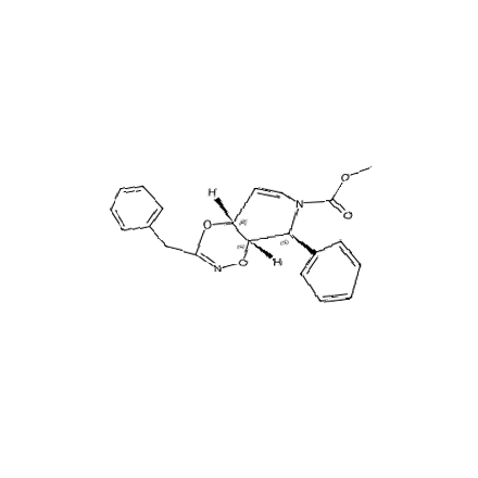 COC(=O)N1C=C[C@H]2OC(Cc3ccccc3)=NO[C@H]2[C@@H]1c1ccccc1